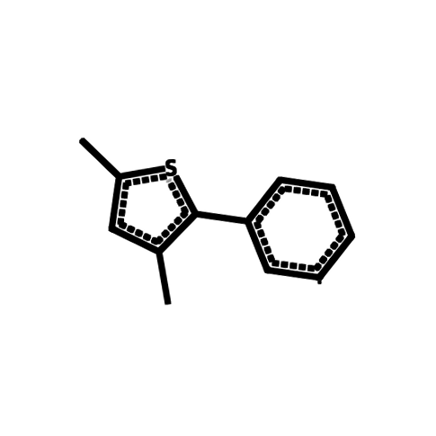 Cc1cc(C)c(-c2c[c]ccc2)s1